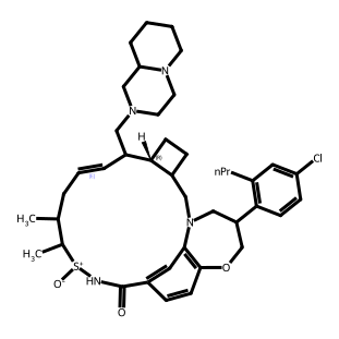 CCCc1cc(Cl)ccc1C1COc2ccc3cc2N(C1)CC1CC[C@H]1C(CN1CCN2CCCCC2C1)/C=C/CC(C)C(C)[S+]([O-])NC3=O